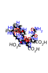 CCCCCCCCCCCCCCCC(=O)N[C@H](C(=O)N[C@H](C(=O)N[C@@H](C)C(=O)N[C@@H](C)C(=O)N[C@@H](CCC(=O)O)C(=O)N[C@@H](CCC(=O)O)C(=O)NC(CCC(=O)O)C(=O)N[C@@H](CCC(=O)O)C(=O)NCC(=O)NCC(N)=O)C(C)C)C(C)C